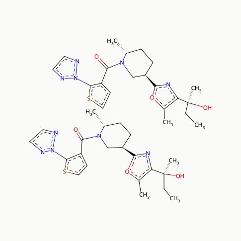 CC[C@](C)(O)c1nc([C@@H]2CC[C@@H](C)N(C(=O)c3ccsc3-n3nccn3)C2)oc1C.CC[C@](C)(O)c1nc([C@@H]2CC[C@@H](C)N(C(=O)c3ccsc3-n3nccn3)C2)oc1C